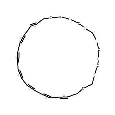 [C]1=C/C=C\C=C/C=C/C=C\C=C\C=C\CCCCCCCCCCCCCCC/1